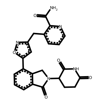 NC(=O)c1ncccc1Cc1cc(-c2cccc3c2CN(C2CCC(=O)NC2=O)C3=O)on1